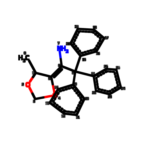 CC1OCOC1=C(N)C(c1ccccc1)(c1ccccc1)c1ccccc1